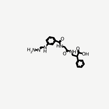 NN=CNc1cccc(C(=O)NCC(=O)NCC(C(=O)O)c2ccccc2)c1